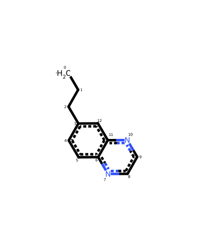 [CH2]CCc1ccc2nccnc2c1